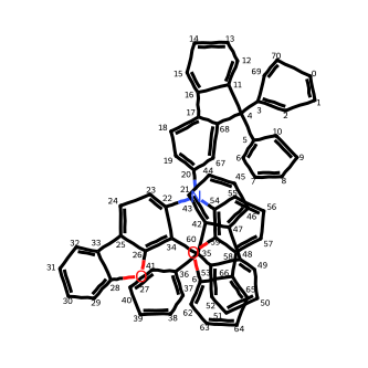 c1ccc(C2(c3ccccc3)c3ccccc3-c3ccc(N(c4ccc5c(oc6ccccc65)c4C4(c5ccccc5)c5ccccc5-c5ccccc54)c4cccc5c4oc4ccccc45)cc32)cc1